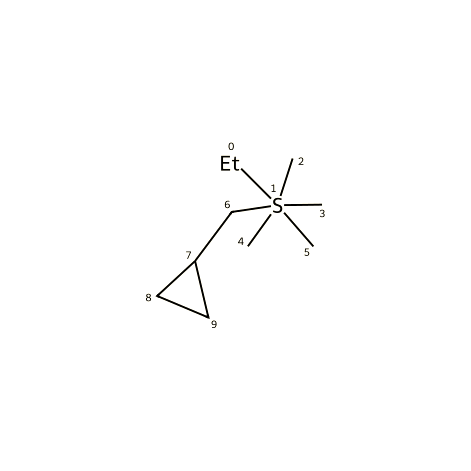 CCS(C)(C)(C)(C)CC1CC1